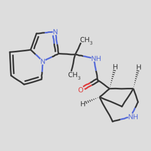 CC(C)(NC(=O)[C@@H]1[C@@H]2CNC[C@H]1C2)c1ncc2ccccn12